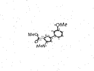 CNc1cc(-c2cccc(OC)c2)sc1C(=O)OC